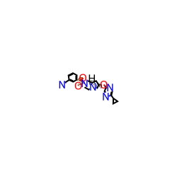 N#Cc1cccc(S(=O)(=O)N2CCN3C[C@H](Oc4cnc(C5CC5)cn4)C[C@H]3C2)c1